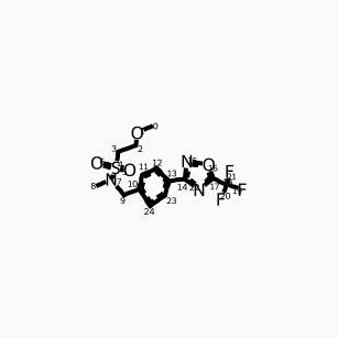 COCCS(=O)(=O)N(C)Cc1ccc(-c2noc(C(F)(F)F)n2)cc1